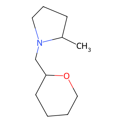 CC1CCCN1CC1CCCCO1